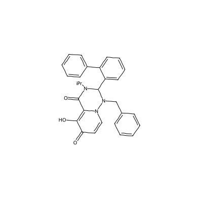 CC(C)N1C(=O)c2c(O)c(=O)ccn2N(Cc2ccccc2)C1c1ccccc1-c1ccccc1